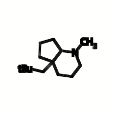 CN1CCCC2(CC(C)(C)C)CCCC12